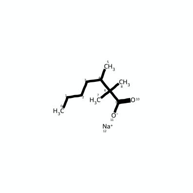 CCCCC(C)C(C)(C)C(=O)[O-].[Na+]